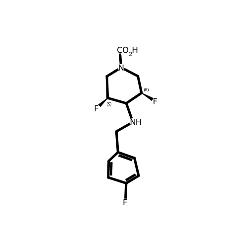 O=C(O)N1C[C@@H](F)C(NCc2ccc(F)cc2)[C@@H](F)C1